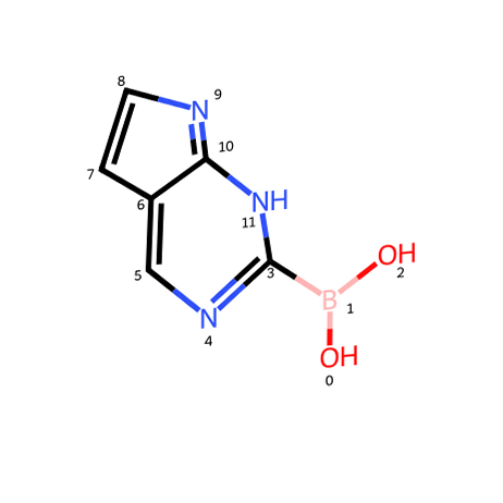 OB(O)c1ncc2ccnc-2[nH]1